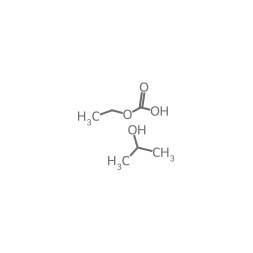 CC(C)O.CCOC(=O)O